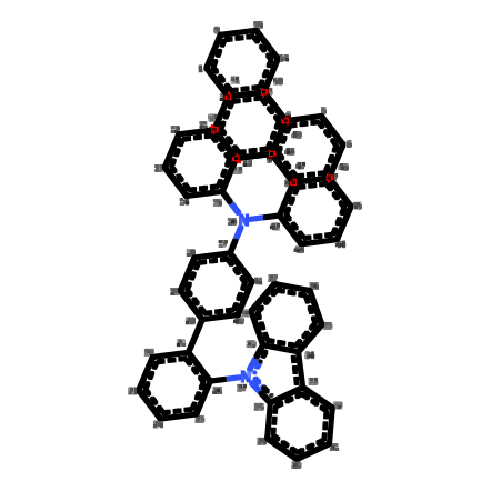 c1ccc(-c2ccccc2-c2ccccc2N(c2ccc(-c3ccccc3-n3c4ccccc4c4ccccc43)cc2)c2ccccc2-c2ccccc2)cc1